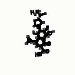 Cc1c(N2CC[C@H](C(C)N)C2)c(F)cn2c(=O)c(C(=O)O)cc(C3CC3)c12.Cl